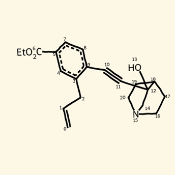 C=CCc1cc(C(=O)OCC)ccc1C#CC1(O)CN2CCC1CC2